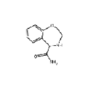 NC(=O)C1NCCOc2ccccc21